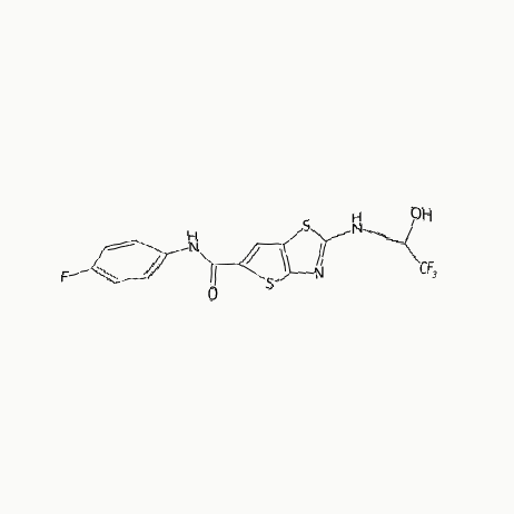 O=C(Nc1ccc(F)cc1)c1cc2sc(NCC(O)C(F)(F)F)nc2s1